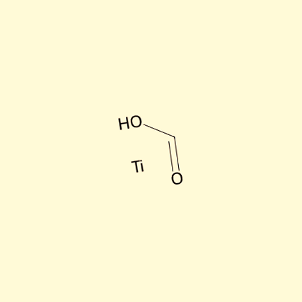 O=CO.[Ti]